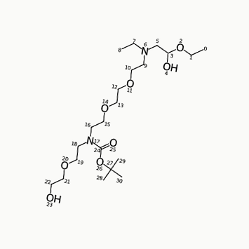 CCOC(O)CN(CC)CCOCCOCCN(CCOCCO)C(=O)OC(C)(C)C